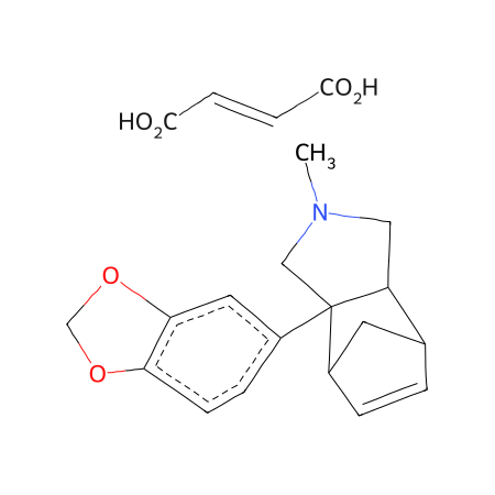 CN1CC2C3C=CC(C3)C2(c2ccc3c(c2)OCO3)C1.O=C(O)/C=C/C(=O)O